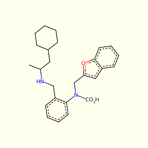 CC(CC1CCCCC1)NCc1ccccc1N(Cc1cc2ccccc2o1)C(=O)O